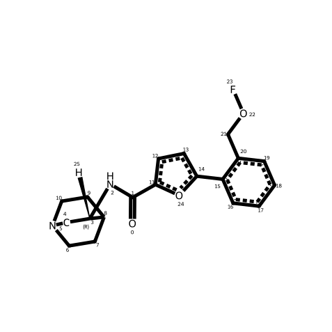 O=C(N[C@H]1CN2CCC1CC2)c1ccc(-c2ccccc2COF)o1